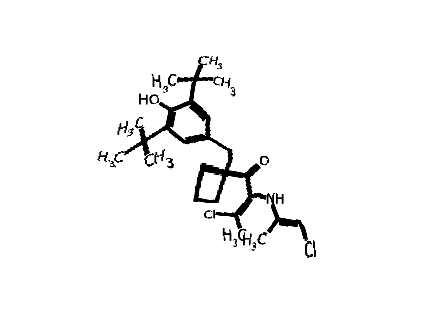 C/C(=C\Cl)N/C(C(=O)C1(Cc2cc(C(C)(C)C)c(O)c(C(C)(C)C)c2)CCC1)=C(\C)Cl